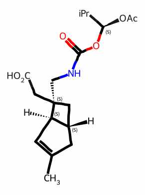 CC(=O)O[C@@H](OC(=O)NC[C@]1(CC(=O)O)C[C@@H]2CC(C)=C[C@H]21)C(C)C